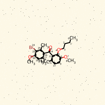 CCCCOc1c(OC)ccc(C)c1C(=O)c1c(C)cc(OC)c(Br)c1C